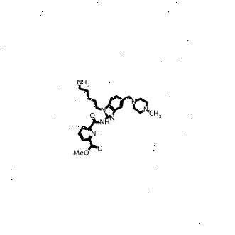 COC(=O)c1cccc(C(=O)Nc2nc3cc(CN4CCN(C)CC4)ccc3n2CCCCCN)n1